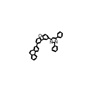 c1ccc(-c2cc(-c3ccc4oc5ccc(-c6ccc7c(ccc8ccccc87)c6)cc5c4c3)nc(-c3ccccc3)n2)cc1